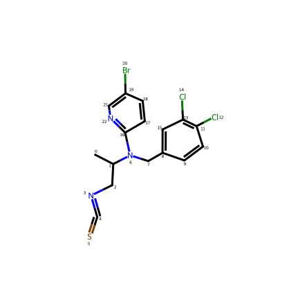 CC(CN=C=S)N(Cc1ccc(Cl)c(Cl)c1)c1ccc(Br)cn1